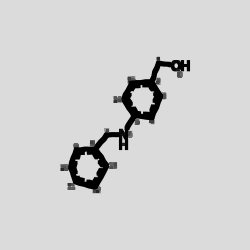 OCc1ccc(NCc2ccccc2)cc1